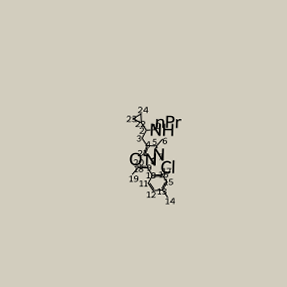 CCCNC(Cc1c(C)nn2c(-c3ccc(C)cc3Cl)c(C)oc12)C1CC1